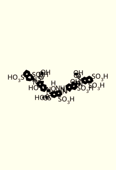 Nc1c(N=Nc2ccc3c(O)c(N=Nc4cc5c(S(=O)(=O)O)cc(S(=O)(=O)O)cc5cc4SOOO)c(S(=O)(=O)O)cc3c2)cc(S(=O)(=O)O)c2cc(SOOO)c(N=Nc3ccc4c(O)c(N=Nc5ccc6c(S(=O)(=O)O)cccc6c5S(=O)(=O)O)c(SOOO)cc4c3)c(O)c12